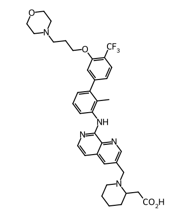 Cc1c(Nc2nccc3cc(CN4CCCCC4CC(=O)O)cnc23)cccc1-c1ccc(C(F)(F)F)c(OCCCN2CCOCC2)c1